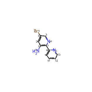 Nc1cc(Br)cnc1-c1ccccn1